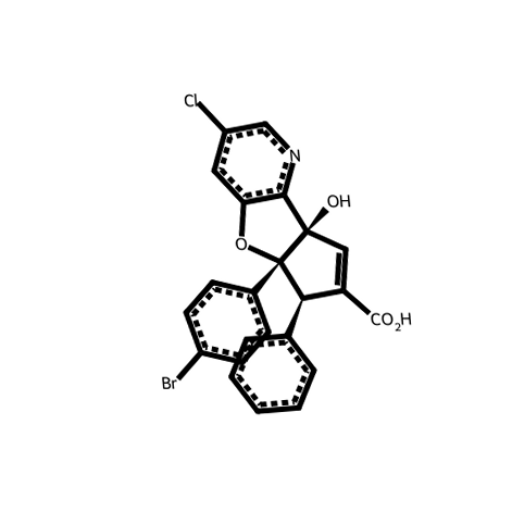 O=C(O)C1=C[C@@]2(O)c3ncc(Cl)cc3O[C@@]2(c2ccc(Br)cc2)[C@@H]1c1ccccc1